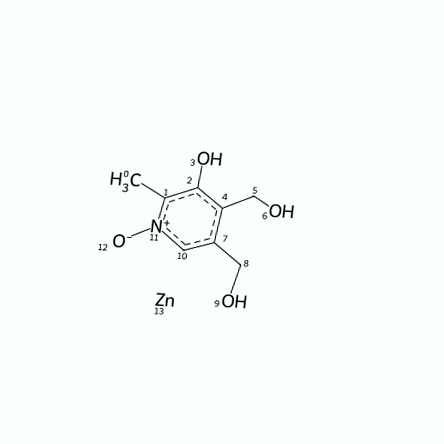 Cc1c(O)c(CO)c(CO)c[n+]1[O-].[Zn]